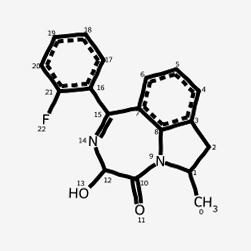 CC1Cc2cccc3c2N1C(=O)C(O)N=C3c1ccccc1F